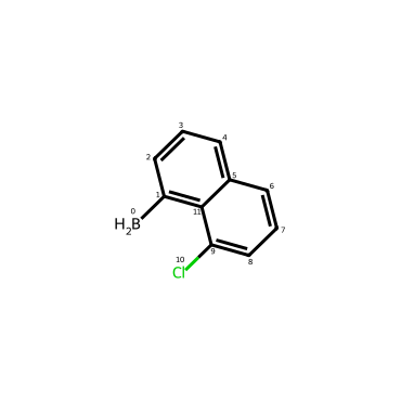 Bc1cccc2cccc(Cl)c12